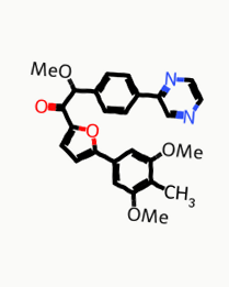 COc1cc(-c2ccc(C(=O)C(OC)c3ccc(-c4cnccn4)cc3)o2)cc(OC)c1C